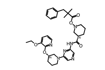 CCOc1cccnc1O[C@@H]1CCCN(c2cncc(NC(=O)[C@@H]3CCCN(OC(=O)C(C)(C)Cc4ccccc4)C3)n2)C1